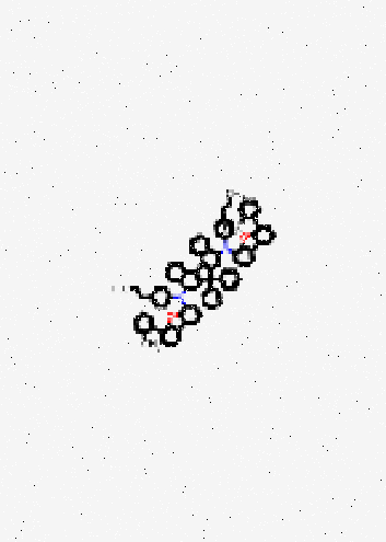 CCCc1ccc(N(c2cc3c(c4ccccc24)-c2c(cc(N(c4ccc(CCC)cc4)c4cccc5c4oc4c(-c6ccccc6C)cccc45)c4ccccc24)C3(c2ccccc2)c2ccccc2)c2cccc3c2oc2c(-c4ccccc4C)cccc23)cc1